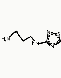 NCCCNc1ncsn1